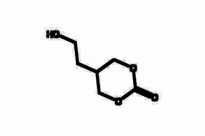 O=C1OCC(CCO)CO1